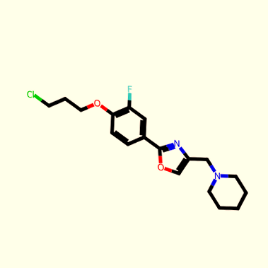 Fc1cc(-c2nc(CN3CCCCC3)co2)ccc1OCCCCl